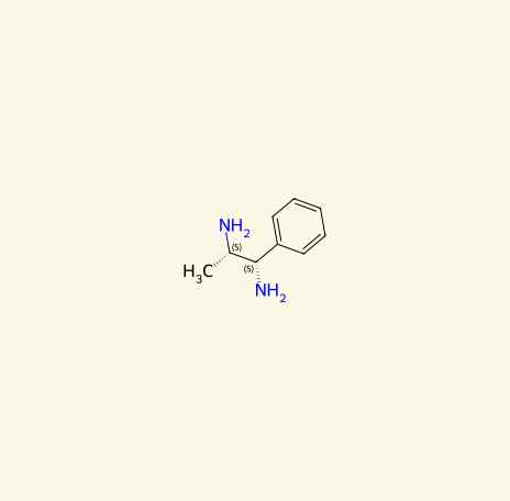 C[C@H](N)[C@@H](N)c1ccccc1